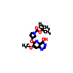 COc1cc2ncnc(O)c2nc1OC1CCN(C(=O)OC(C)(C)C)C1